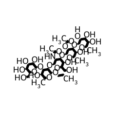 CCCO[C@@H]1OC(C)[C@H](O)[C@H](O[C@H]2O[C@@H](CO)[C@@H](O)C(O)C2O)C1O[C@@H]1OC(CO)[C@@H](O)[C@H](O[C@@H]2OC(C)[C@H](O)[C@H](O[C@@H]3OC(C)[C@H](O)[C@H](O)C3O)C2OC(C)=O)C1NC(C)=O